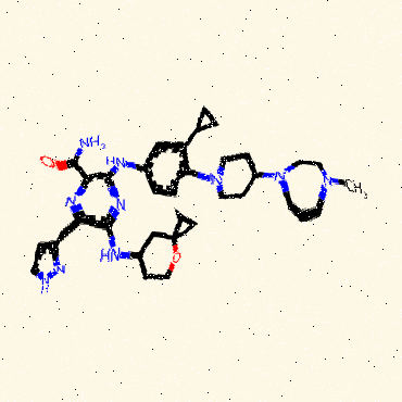 CN1CCN(C2CCN(c3ccc(Nc4nc(NC5CCOC6(CC6)C5)c(-c5cc[nH]n5)nc4C(N)=O)cc3C3CC3)CC2)CC1